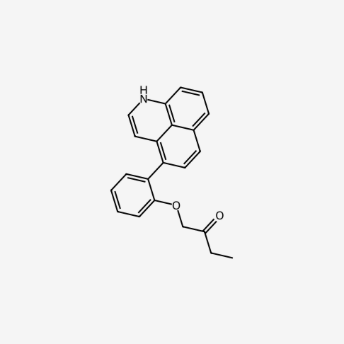 CCC(=O)COc1ccccc1-c1ccc2cccc3c2c1C=CN3